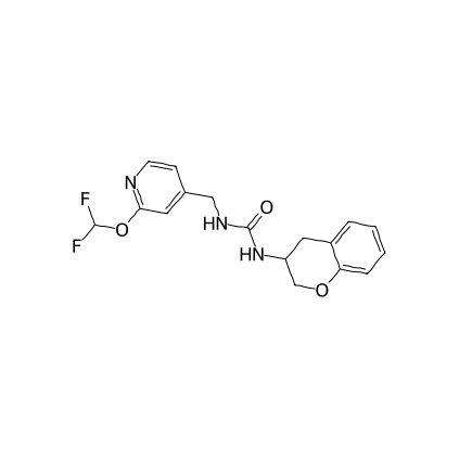 O=C(NCc1ccnc(OC(F)F)c1)NC1COc2ccccc2C1